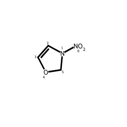 O=[N+]([O-])N1C=[C]OC1